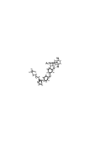 CC(=O)N[C@H]1C[C@H]2CC[C@@H](C1)N2CC1Cc2ccc(Oc3ccc(-c4ccnn4COCC[Si](C)(C)C)cc3)cc2O1